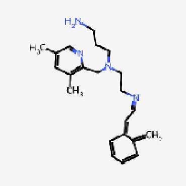 C=c1cccc/c1=C/C=N\CCN(CCCN)Cc1ncc(C)cc1C